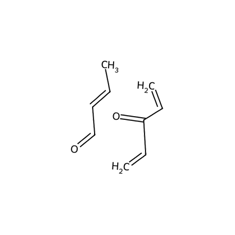 C/C=C/C=O.C=CC(=O)C=C